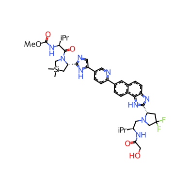 COC(=O)N[C@H](C(=O)N1C[Si](C)(C)C[C@H]1c1ncc(-c2ccc(-c3ccc4c(ccc5nc([C@@H]6CC(F)(F)CN6C[C@@H](NC(=O)CO)C(C)C)[nH]c54)c3)nc2)[nH]1)C(C)C